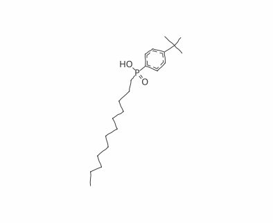 CCCCCCCCCCCCP(=O)(O)c1ccc(C(C)(C)C)cc1